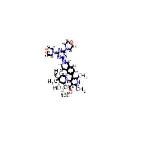 Cc1nc(C)c([C@H](OC(C)(C)C)C(=O)O)c(N2CCC(C)(C)CC2)c1-c1ccc2c(c1)CCN(c1nc(N3CCOCC3)nc(N3CCOCC3)n1)C2